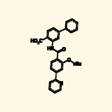 CCCCOc1cc(-c2ccccn2)ccc1C(=O)Nc1cc(-c2ccccc2)ccc1C(=O)O